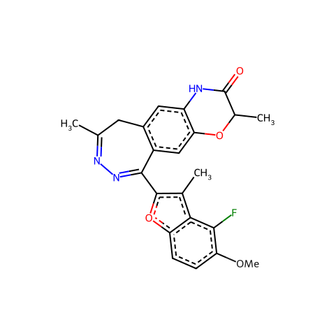 COc1ccc2oc(C3=NN=C(C)Cc4cc5c(cc43)OC(C)C(=O)N5)c(C)c2c1F